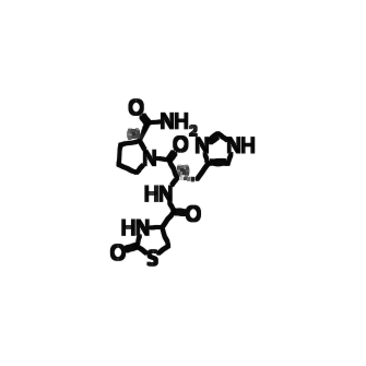 NC(=O)[C@@H]1CCCN1C(=O)[C@H](Cc1c[nH]cn1)NC(=O)C1CSC(=O)N1